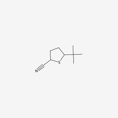 CC(C)(C)C1CCC(C#N)S1